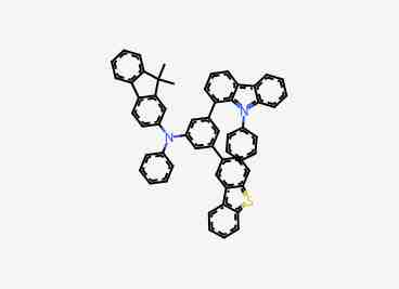 CC1(C)c2ccccc2-c2ccc(N(c3ccccc3)c3cc(-c4ccc5sc6ccccc6c5c4)cc(-c4cccc5c6ccccc6n(-c6ccccc6)c45)c3)cc21